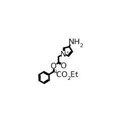 CCOC(=O)[C@@H](OC(=O)C[N+]1=CC(N)C=C1)c1ccccc1